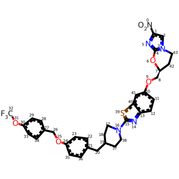 O=[N+]([O-])c1cn2c(n1)O[C@H](COc1ccc3nc(N4CCC(Cc5ccc(OCc6ccc(OC(F)(F)F)cc6)cc5)CC4)sc3c1)CC2